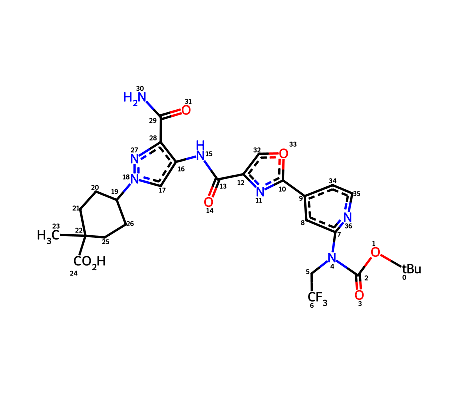 CC(C)(C)OC(=O)N(CC(F)(F)F)c1cc(-c2nc(C(=O)Nc3cn(C4CCC(C)(C(=O)O)CC4)nc3C(N)=O)co2)ccn1